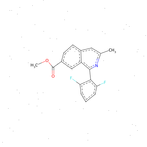 COC(=O)c1ccc2cc(C)nc(-c3c(F)cccc3F)c2c1